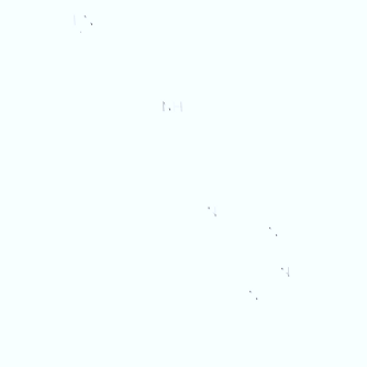 NCCNCCN.c1c[nH]nn1